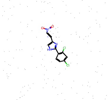 O=[N+]([O-])/C=C/c1c[nH]c(-c2ccc(Cl)cc2Cl)n1